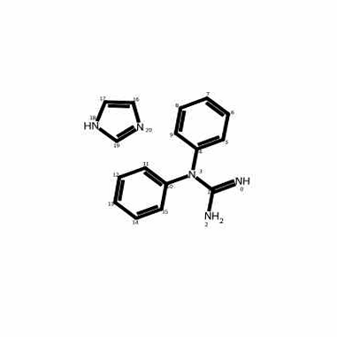 N=C(N)N(c1ccccc1)c1ccccc1.c1c[nH]cn1